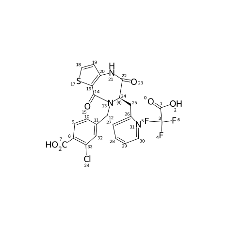 O=C(O)C(F)(F)F.O=C(O)c1ccc(CN2C(=O)c3sccc3NC(=O)[C@H]2Cc2ccccn2)cc1Cl